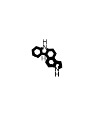 c1cc2c3c(ccc2[nH]1)[C@@H]1C(CC3)NC2CCCCC21